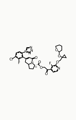 O=C(COC(=O)[C@@H]1CCC2CC(c3c(-n4cnnn4)ccc(Cl)c3F)=CC(=O)N21)c1ccnc(OCC2(OC3CCCCO3)CC2)c1F